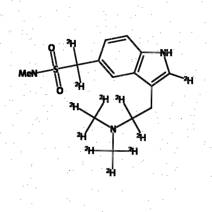 [2H]c1[nH]c2ccc(C([2H])([2H])S(=O)(=O)NC)cc2c1CC([2H])([2H])N(C([2H])([2H])[2H])C([2H])([2H])[2H]